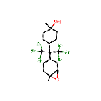 CC1(O)CCC(C(C2CCC3(C)OC3C2)(C(Br)(Br)Br)C(Br)(Br)Br)CC1